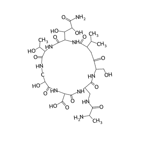 CC(N)C(=O)NCC1NC(=O)C(C(=O)O)NC(=O)C(O)CNC(=O)C(C(C)O)NC(=O)C(C(O)C(O)C(N)=O)NC(=O)C(C(C)C)CC(=O)C(CO)NC1=O